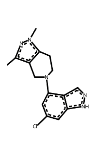 Cc1nn(C)c2c1CN(c1cc(Cl)cc3[nH]ncc13)CC2